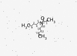 C[CH]C(=O)N(CCCCC)CCCCC